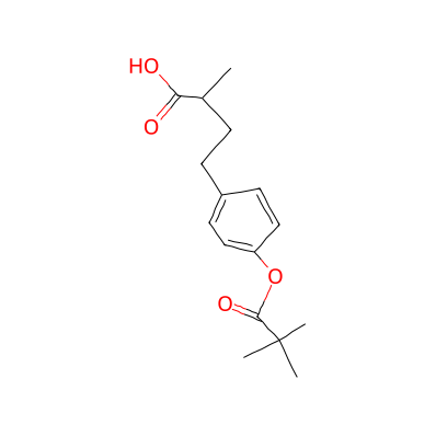 CC(CCc1ccc(OC(=O)C(C)(C)C)cc1)C(=O)O